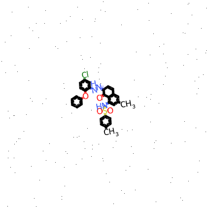 Cc1ccc(S(=O)(=O)Nc2cc(C)cc3c2C(=O)/C(=N\Nc2cc(Cl)ccc2Oc2ccccc2)C=C3)cc1